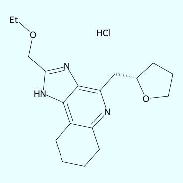 CCOCc1nc2c(C[C@@H]3CCCO3)nc3c(c2[nH]1)CCCC3.Cl